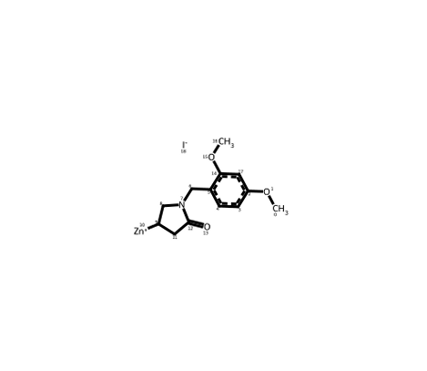 COc1ccc(CN2C[CH]([Zn+])CC2=O)c(OC)c1.[I-]